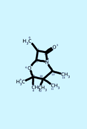 CC1C(=O)N2C1OC(C)(C)C(C)(C)C2C